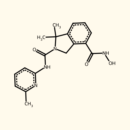 Cc1cccc(NC(=O)N2Cc3c(C(=O)NO)cccc3C2(C)C)n1